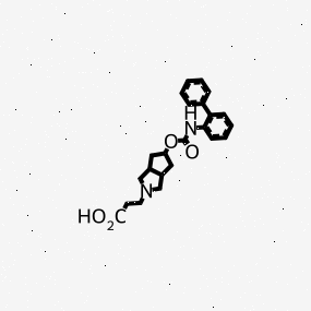 O=C(O)CCN1CC2CC(OC(=O)Nc3ccccc3-c3ccccc3)CC2C1